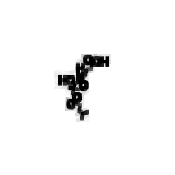 CC(C)CCC(=O)OCC(C)(C)C(O)C(=O)NCCCC(=O)O